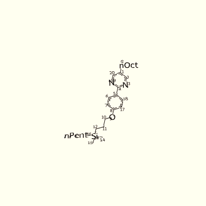 CCCCCCCCc1cnc(-c2ccc(OCCC[Si](C)(C)CCCCC)cc2)nc1